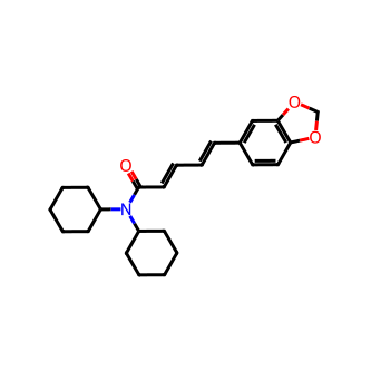 O=C(/C=C/C=C/c1ccc2c(c1)OCO2)N(C1CCCCC1)C1CCCCC1